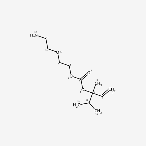 C=CC(C)(OC(=O)OCCOCCN)C(C)C